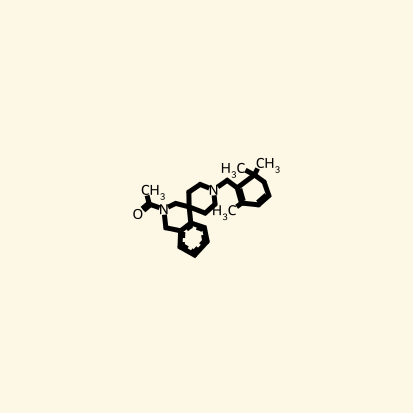 CC(=O)N1Cc2ccccc2C2(CCN(CC3=C(C)C=CCC3(C)C)CC2)C1